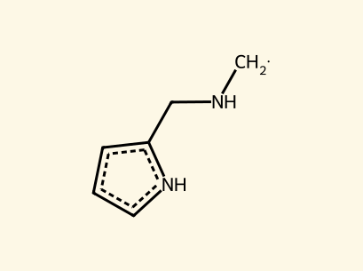 [CH2]NCc1ccc[nH]1